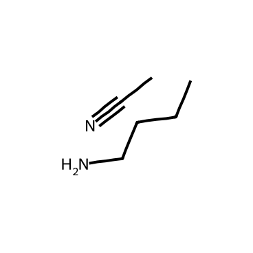 CC#N.CCCCN